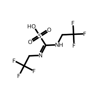 O=S(=O)(O)C(=NCC(F)(F)F)NCC(F)(F)F